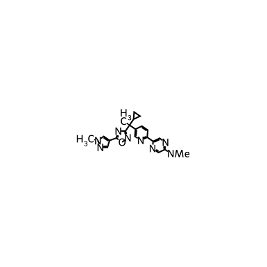 CNc1cnc(-c2ccc([C@](C)(c3noc(-c4cnn(C)c4)n3)C3CC3)cn2)cn1